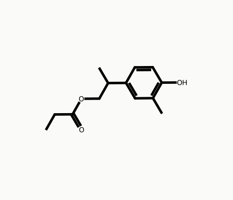 CCC(=O)OCC(C)c1ccc(O)c(C)c1